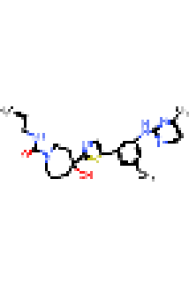 C=CCNC(=O)N1CCCC(O)(c2ncc(-c3cc(C)cc(Nc4nccc(C(F)(F)F)n4)c3)s2)CC1